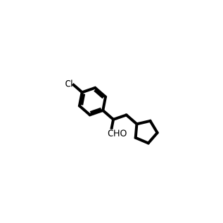 O=CC(CC1CCCC1)c1ccc(Cl)cc1